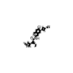 CC[C@@H]1[C@H](C(=O)Nc2cc3cc([C@H]4C[C@@H](C#N)C4)c(Cl)cc3cn2)[C@H]1c1cnn(C)c1